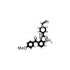 COc1ccc(C(=O)c2cccc(N)c2NC(=O)C2CCN(CC(C)C)CC2)cc1